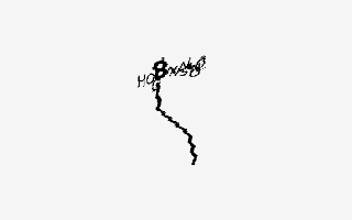 CCCCCCCCCCCCCCCCCCOc1cc(N=Nc2ncc([N+](=O)[O-])s2)c2ccccc2c1O